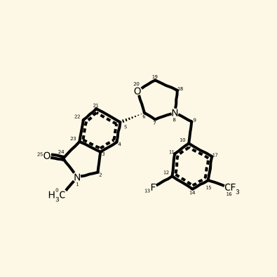 CN1Cc2cc([C@H]3CN(Cc4cc(F)cc(C(F)(F)F)c4)CCO3)ccc2C1=O